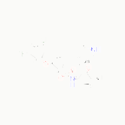 C[C@@]1(Oc2cc(NS(=O)(=O)c3cccc(Oc4cc(Cl)cc(Cl)c4)c3)ccc2C(F)(F)F)CCNC1